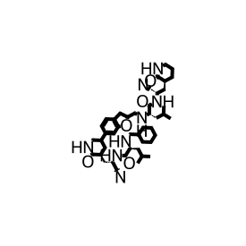 CC(C)C[C@H](NCC1Cc2ccc(C3CNC(=O)[C@H](C[C@@H](C#N)NC(=O)[C@H](CC(C)C)NCC4CCCCC4)C3)cc2O1)C(=O)N[C@H](C#N)C[C@@H]1CCCNC1=O